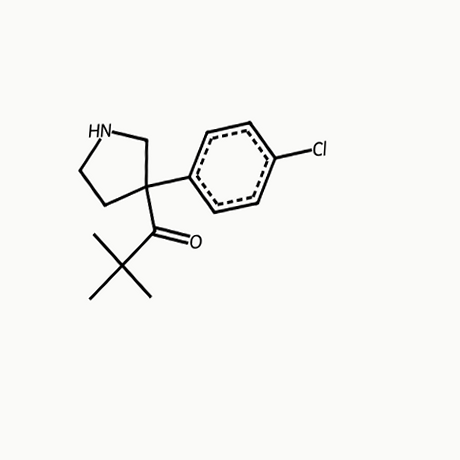 CC(C)(C)C(=O)C1(c2ccc(Cl)cc2)CCNC1